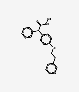 O=C(NO)C(c1ccccc1)c1ccc(NCCc2cccnc2)cc1